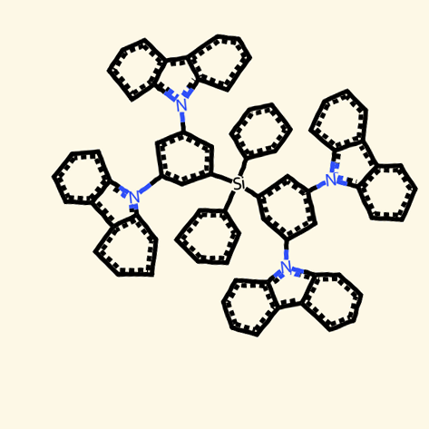 c1ccc([Si](c2ccccc2)(c2cc(-n3c4ccccc4c4ccccc43)cc(-n3c4ccccc4c4ccccc43)c2)c2cc(-n3c4ccccc4c4ccccc43)cc(-n3c4ccccc4c4ccccc43)c2)cc1